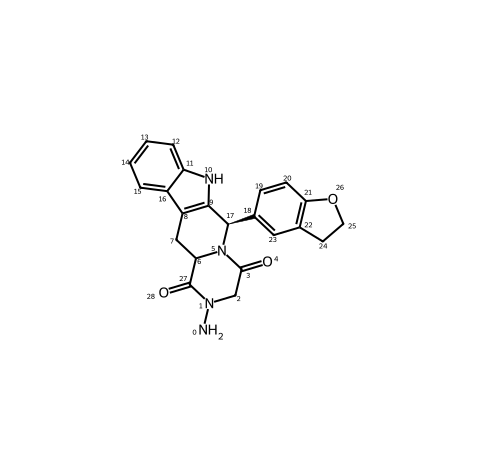 NN1CC(=O)N2C(Cc3c([nH]c4ccccc34)[C@H]2c2ccc3c(c2)CCO3)C1=O